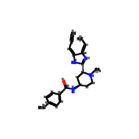 C#C/C=c1/[nH]c(C2C[C@H](NC(=O)c3ccc(OC)cc3)CCN2C)n/c1=C/C